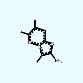 Cc1cc2nc(N)c(C)n2nc1C